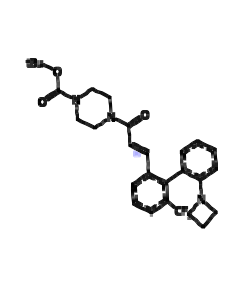 CC(C)(C)OC(=O)N1CCN(C(=O)/C=C/c2cc[c]c(C(F)(F)F)c2-c2ccccc2N2CCC2)CC1